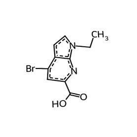 CCn1ccc2c(Br)cc(C(=O)O)nc21